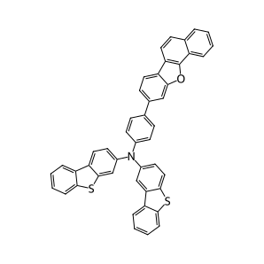 c1ccc2c(c1)ccc1c3ccc(-c4ccc(N(c5ccc6c(c5)sc5ccccc56)c5ccc6sc7ccccc7c6c5)cc4)cc3oc21